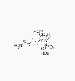 CN(C(=O)OC(C)(C)C)[C@@H](CCCCN)C(=O)O.Cl